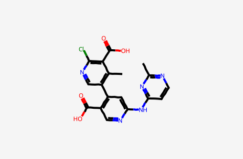 Cc1nccc(Nc2cc(-c3cnc(Cl)c(C(=O)O)c3C)c(C(=O)O)cn2)n1